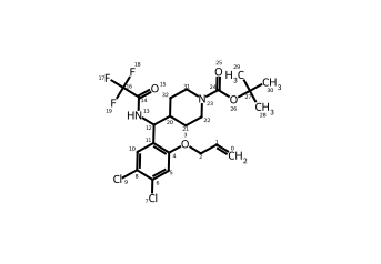 C=CCOc1cc(Cl)c(Cl)cc1C(NC(=O)C(F)(F)F)C1CCN(C(=O)OC(C)(C)C)CC1